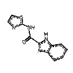 O=C(Nc1nccs1)c1nc2ccccc2[nH]1